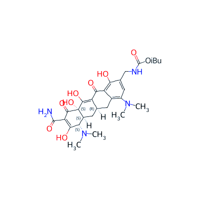 CC(C)COC(=O)NCc1cc(N(C)C)c2c(c1O)C(=O)C1=C(O)[C@]3(O)C(=O)C(C(N)=O)=C(O)[C@@H](N(C)C)[C@@H]3C[C@@H]1C2